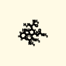 NC(=O)Nc1cc(N(N)C(N)=O)c2[nH]c3ccccc3c2c1N(N)C(N)=O